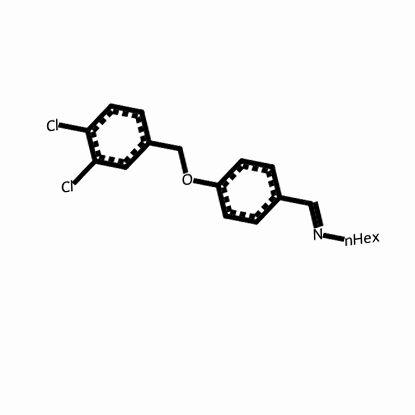 CCCCCC/N=C/c1ccc(OCc2ccc(Cl)c(Cl)c2)cc1